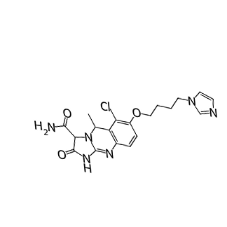 CC1c2c(ccc(OCCCCn3ccnc3)c2Cl)N=C2NC(=O)C(C(N)=O)N21